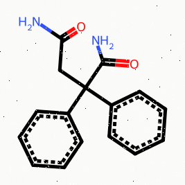 NC(=O)CC(C(N)=O)(c1ccccc1)c1ccccc1